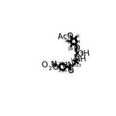 CC(=O)Oc1c(C)cc(OCC(O)CNC(C)(C)CNC(=O)C2CCC(O[N+](=O)[O-])CC2)c(C)c1C